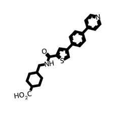 O=C(NCC1CCC(C(=O)O)CC1)c1cc(-c2ccc(-c3ccncc3)cc2)cs1